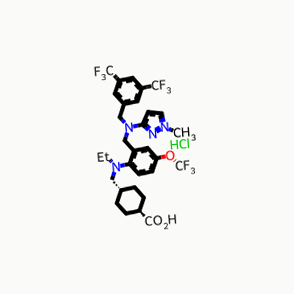 CCN(C[C@H]1CC[C@H](C(=O)O)CC1)c1ccc(OC(F)(F)F)cc1CN(Cc1cc(C(F)(F)F)cc(C(F)(F)F)c1)c1ccn(C)n1.Cl